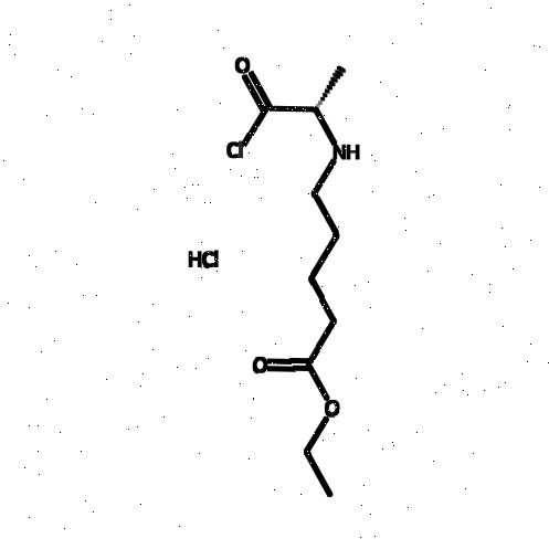 CCOC(=O)CCCCN[C@@H](C)C(=O)Cl.Cl